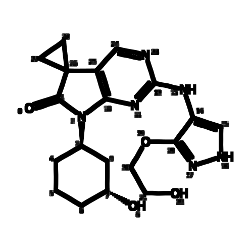 O=C1N([C@@H]2CCC[C@@H](O)C2)c2nc(Nc3c[nH]nc3OCCO)ncc2C12CC2